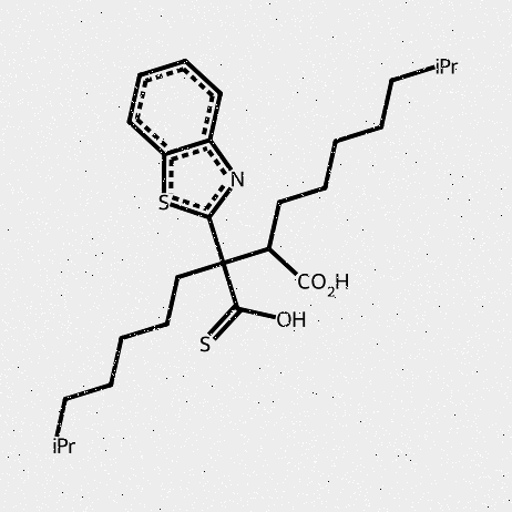 CC(C)CCCCCC(C(=O)O)C(CCCCCC(C)C)(C(O)=S)c1nc2ccccc2s1